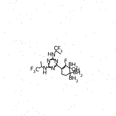 BC1(B)CCC(c2nc(N[C@H](C)C(F)(F)F)nc(N[C@H](C)C(F)(F)F)n2)=C(F)C1(B)O